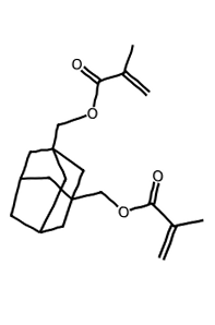 C=C(C)C(=O)OCC12CC3CC(C1)CC(COC(=O)C(=C)C)(C3)C2